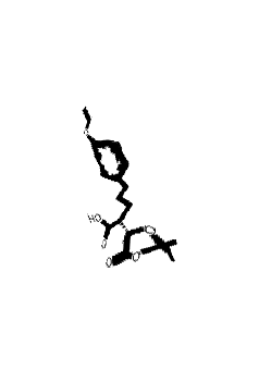 CCOc1ccc(CCCC(C(=O)O)[C@@H]2OC(C)(C)OC2=O)cc1